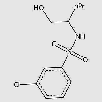 CCCC(CO)NS(=O)(=O)c1cccc(Cl)c1